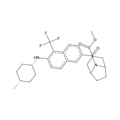 COC(=O)C1CC2CCC(C1)N2C(=O)c1ccc2c(C(F)(F)F)c(N[C@H]3CC[C@@H](C)CC3)ccc2c1